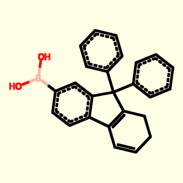 OB(O)c1ccc2c(c1)C(c1ccccc1)(c1ccccc1)C1=C2C=CCC1